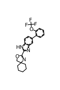 FC(F)(F)Oc1ccccc1-c1ccc2[nH]c(C3=NC4(CCCCC4)CO3)nc2c1